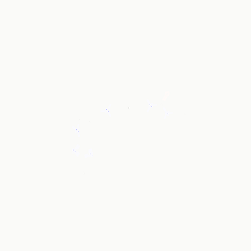 Cc1nsc(N2C3CCC4CC(N5CCC6(CCN(C(=O)N(C)C)c7ccccc76)CC5)CC432)n1